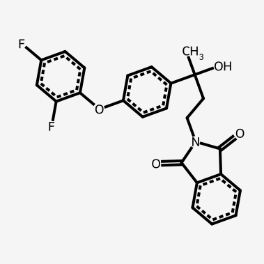 CC(O)(CCN1C(=O)c2ccccc2C1=O)c1ccc(Oc2ccc(F)cc2F)cc1